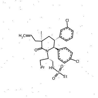 C=CC[C@@]1(I)C[C@H](c2cccc(Cl)c2)[C@@H](c2ccc(Cl)cc2)N([C@H](CNS(=O)(=O)CC)CC(C)C)C1=O